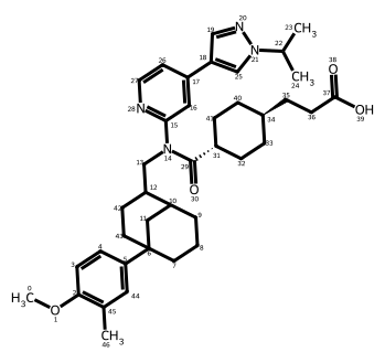 COc1ccc(C23CCCC(C2)C(CN(c2cc(-c4cnn(C(C)C)c4)ccn2)C(=O)[C@H]2CC[C@H](CCC(=O)O)CC2)CC3)cc1C